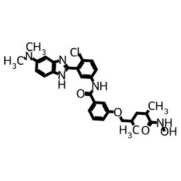 CC(COc1cccc(C(=O)Nc2ccc(Cl)c(-c3nc4cc(N(C)C)ccc4[nH]3)c2)c1)CC(C)C(=O)NO